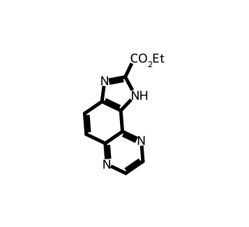 CCOC(=O)c1nc2ccc3nccnc3c2[nH]1